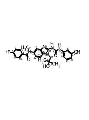 CN(C(=O)c1ccc(F)cc1)c1ccc2c(c1)nc(NC(=O)Nc1cccc(C#N)c1)n2CC(C)(C)O